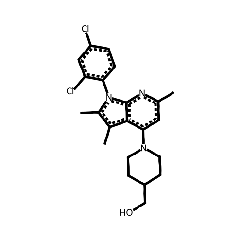 Cc1cc(N2CCC(CO)CC2)c2c(C)c(C)n(-c3ccc(Cl)cc3Cl)c2n1